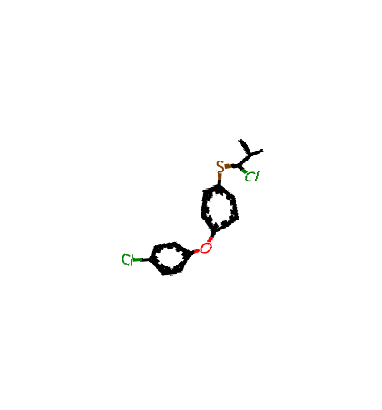 CC(C)C(Cl)Sc1ccc(Oc2ccc(Cl)cc2)cc1